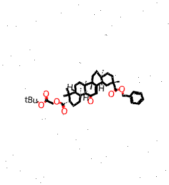 CC(C)(C)OC(=O)COC(=O)[C@H]1CC[C@]2(C)[C@H]3C(=O)C=C4[C@@H]5C[C@@](C)(C(=O)OCc6ccccc6)CC[C@]5(C)CC[C@@]4(C)[C@]3(C)CC[C@H]2C1(C)C